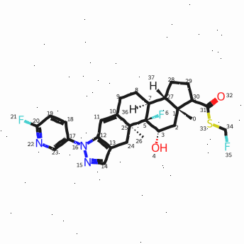 C[C@@]12C[C@H](O)[C@@]3(F)[C@@H](CCC4=Cc5c(cnn5-c5ccc(F)nc5)C[C@@]43C)[C@@H]1CC[C]2C(=O)SCF